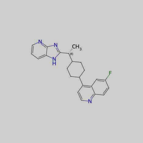 C[C@@H](c1nc2ncccc2[nH]1)C1CCC(c2ccnc3ccc(F)cc23)CC1